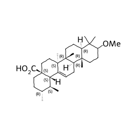 COC1CC[C@]2(C)[C@H]3CC=C4[C@@H]5[C@@H](C)[C@H](C)CC[C@]5(C(=O)O)CC[C@@]4(C)[C@]3(C)CC[C@H]2C1(C)C